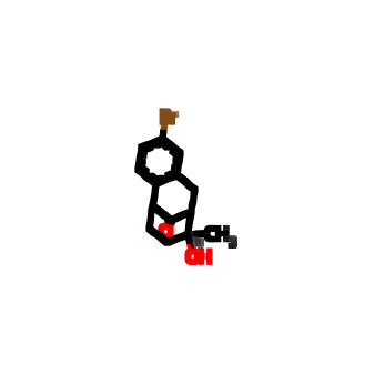 C[C@@]1(O)CCC2C(=O)C1Cc1cc(Br)ccc12